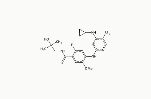 COc1cc(C(=O)NCC(C)(C)O)c(F)cc1Nc1ncc(C(F)(F)F)c(NC2CC2)n1